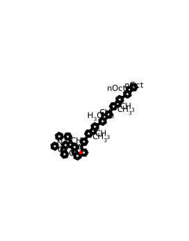 CCCCCCCCC1(CCCCCCCC)c2ccccc2-c2ccc(-c3ccc4c(c3)C(C)(C)c3cc(-c5ccc6c(c5)C(C)(C)c5cc(-c7ccc8c(c7)C(C)(C)c7cc(-c9ccc(N(c%10ccccc%10)c%10cc%11c(c%12oc%13ccccc%13c%10%12)-c%10c(cc(N(c%12ccccc%12)c%12ccccc%12)c%12oc%13ccccc%13c%10%12)C%11(C)c%10ccccc%10)cc9)ccc7-8)ccc5-6)ccc3-4)cc21